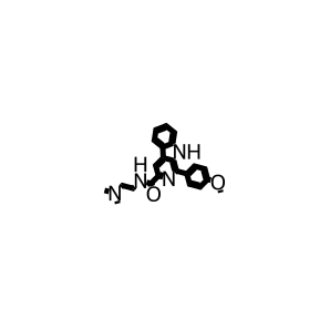 COc1ccc(-c2nc(C(=O)NCCN(C)C)cc3c2[nH]c2ccccc23)cc1